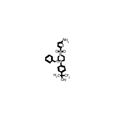 CC(O)(c1ccc(N2CCN(S(=O)(=O)c3ccc(N)s3)C[C@@H]2Cc2ccccc2)cc1)C(F)(F)F